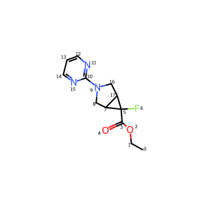 CCOC(=O)C1(F)C2CN(c3ncccn3)CC21